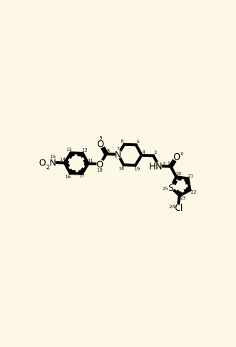 O=C(NCC1CCN(C(=O)Oc2ccc([N+](=O)[O-])cc2)CC1)c1ccc(Cl)s1